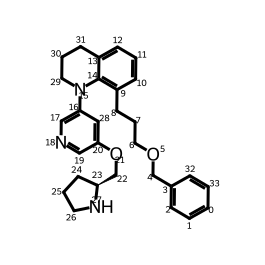 c1ccc(COCCCc2cccc3c2N(c2cncc(OC[C@@H]4CCCN4)c2)CCC3)cc1